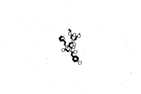 CCOC(=O)CN(CCOC)C(=O)CC1C(=O)N(C(Cl)Cc2ccc(Cl)cc2)CC(=O)N1CCc1cccs1